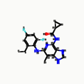 CCc1cc(F)cc(F)c1Nc1nc(NC(=O)C2CC2)c2nc[nH]c2c1C